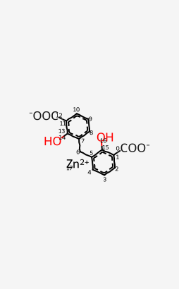 O=C([O-])c1cccc(Cc2cccc(C(=O)[O-])c2O)c1O.[Zn+2]